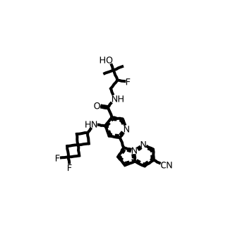 CC(C)(O)C(F)CNC(=O)c1cnc(-c2ccc3cc(C#N)cnn23)cc1NC1CC2(C1)CC(F)(F)C2